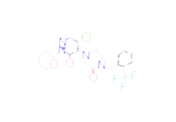 O=C1CN(c2c(Cl)cnn(C3CCCCO3)c2=O)CCN1Cc1ccccc1C(F)(F)F